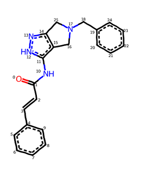 O=C(C=Cc1ccccc1)Nc1[nH]nc2c1CN(Cc1ccccc1)C2